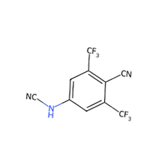 N#CNc1cc(C(F)(F)F)c(C#N)c(C(F)(F)F)c1